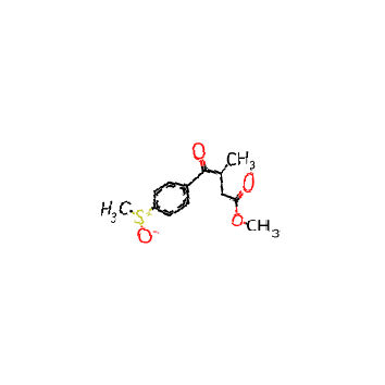 COC(=O)CC(C)C(=O)c1ccc([S+](C)[O-])cc1